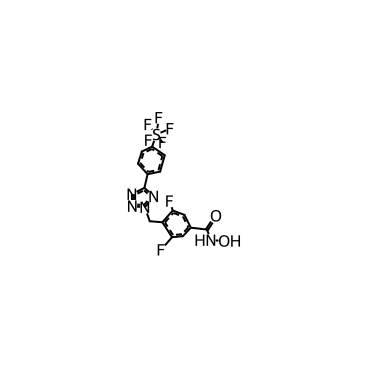 O=C(NO)c1cc(F)c(Cn2nnc(-c3ccc(S(F)(F)(F)(F)F)cc3)n2)c(F)c1